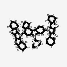 c1ccc2c(c1)sc1c3sc4ccccc4c3n(-c3ccc4c5c6ccccc6c(-n6c7c8ccccc8sc7c7sc8ccccc8c76)cc5n(-c5ncncn5)c4c3)c21